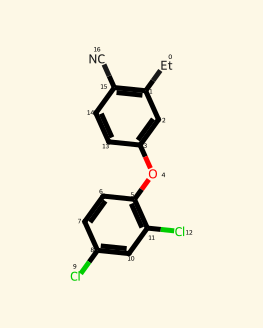 CCc1cc(Oc2ccc(Cl)cc2Cl)ccc1C#N